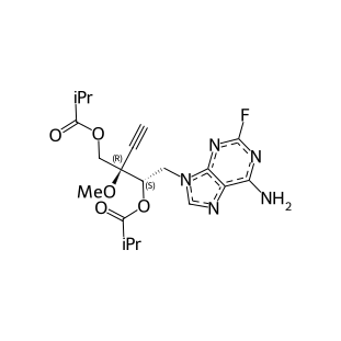 C#C[C@](COC(=O)C(C)C)(OC)[C@H](Cn1cnc2c(N)nc(F)nc21)OC(=O)C(C)C